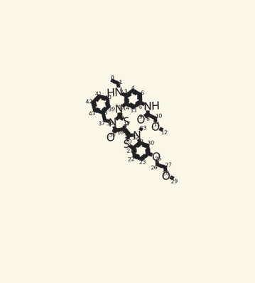 CCNc1ccc(NC(=O)COC)cc1N=C1SC(=C2Sc3ccc(OCCOC)cc3N2C)C(=O)N1Cc1ccccc1